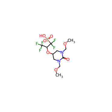 COCN1CC(OC(C(F)(F)F)C(F)(F)S(=O)(=O)O)CN(COC)C1=O